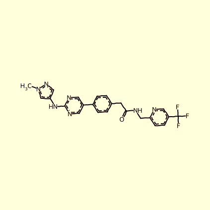 Cn1cc(Nc2ncc(-c3ccc(CC(=O)NCc4ccc(C(F)(F)F)cn4)cc3)cn2)cn1